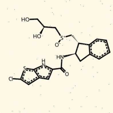 O=C(N[C@@H]1Cc2ccccc2[C@H]1C[S+]([O-])C[C@@H](O)CO)c1cc2cc(Cl)sc2[nH]1